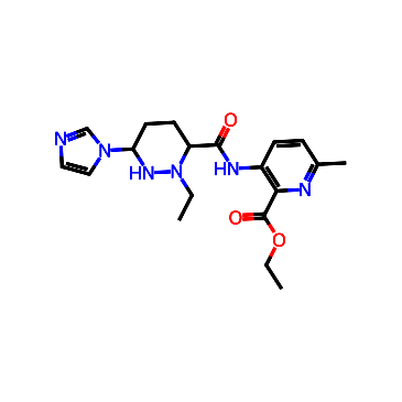 CCOC(=O)c1nc(C)ccc1NC(=O)C1CCC(n2ccnc2)NN1CC